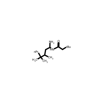 CCCC(C)(C)C(C)CC(N)NC(=O)CC(C)(C)C